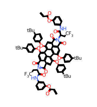 C=CC(=O)Oc1cccc(NC(=O)C(CC(F)(F)F)N2C(=O)c3cc(Oc4ccc(C(C)(C)C)cc4)c4c5c(Oc6ccc(C(C)(C)C)cc6)cc6c7c(cc(Oc8ccc(C(C)(C)C)cc8)c(c8c(Oc9ccc(C(C)(C)C)cc9)cc(c3c48)C2=O)c75)C(=O)N(C(CC(F)(F)F)C(=O)Nc2cccc(OC(=O)C=C)c2)C6=O)c1